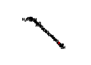 COC(=O)/C=C\C(=O)NCCCCCC(=O)NCCOCCOCCOCCOCCOCCOCCOCCOCCC(=O)O